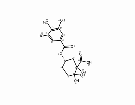 O=C(O[C@H]1CCC(O)(O)C(O)(C(=O)O)C1)c1cc(O)c(O)c(O)c1